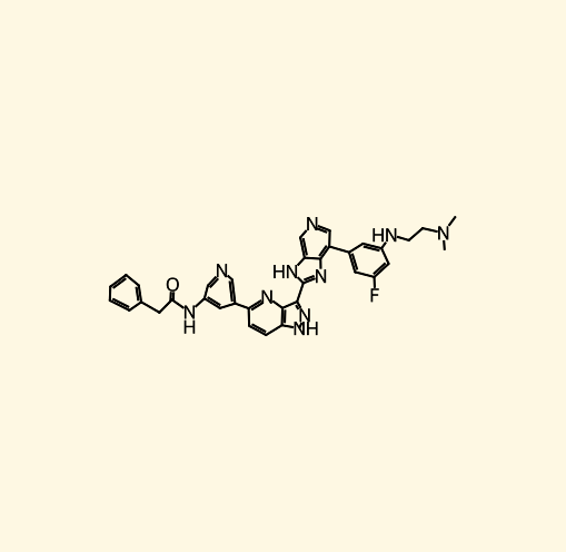 CN(C)CCNc1cc(F)cc(-c2cncc3[nH]c(-c4n[nH]c5ccc(-c6cncc(NC(=O)Cc7ccccc7)c6)nc45)nc23)c1